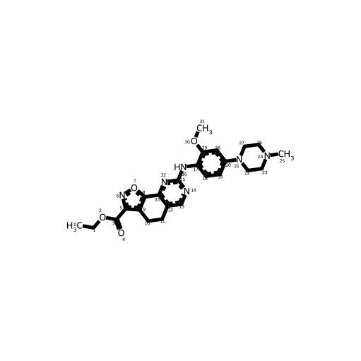 CCOC(=O)c1noc2c1CCc1cnc(Nc3ccc(N4CCN(C)CC4)cc3OC)nc1-2